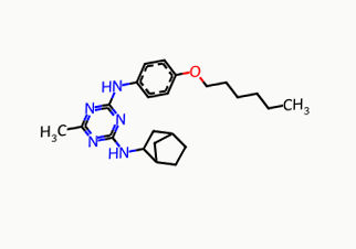 CCCCCCOc1ccc(Nc2nc(C)nc(NC3CC4CCC3C4)n2)cc1